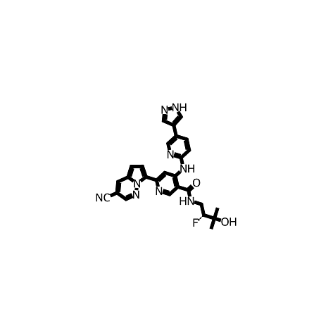 CC(C)(O)[C@H](F)CNC(=O)c1cnc(-c2ccc3cc(C#N)cnn23)cc1Nc1ccc(-c2cn[nH]c2)cn1